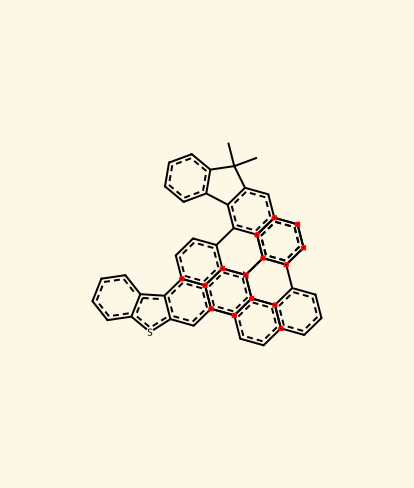 CC1(C)c2ccccc2-c2c(-c3ccccc3N(c3ccccc3-c3ccc4c(c3)sc3ccccc34)c3ccccc3-c3ccccc3-c3ccccc3-c3ccccc3)cccc21